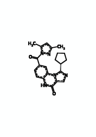 Cc1cc(C)n(C(=O)c2ccc3[nH]c(=O)c4cnc(C5CCCC5)n4c3c2)n1